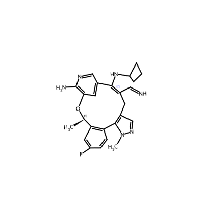 C[C@H]1Oc2cc(cnc2N)/C(NC2CCC2)=C(/C=N)Cc2cnn(C)c2-c2ccc(F)cc21